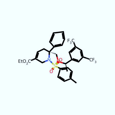 CCOC(=O)C1=CC[C@@](CO[C@H](C)c2cc(C(F)(F)F)cc(C(F)(F)F)c2)(c2ccccc2)N(S(=O)(=O)c2ccc(C)cc2)C1